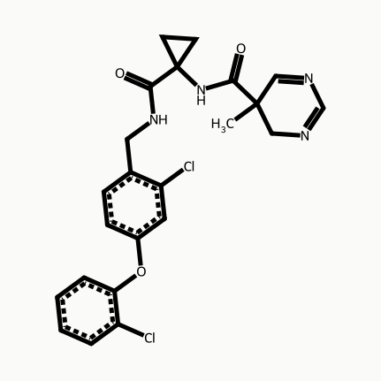 CC1(C(=O)NC2(C(=O)NCc3ccc(Oc4ccccc4Cl)cc3Cl)CC2)C=NC=NC1